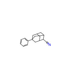 N#CC1C2CC3CC1CC(c1ccccc1)(C3)C2